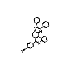 N#Cc1ccc(-c2nc3ccccc3c3c2ccc2nc(-c4ccccc4)c(-c4ccccc4)nc23)cc1